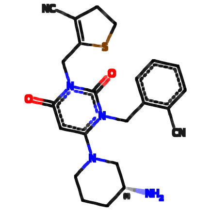 N#CC1=C(Cn2c(=O)cc(N3CCC[C@@H](N)C3)n(Cc3ccccc3C#N)c2=O)SCC1